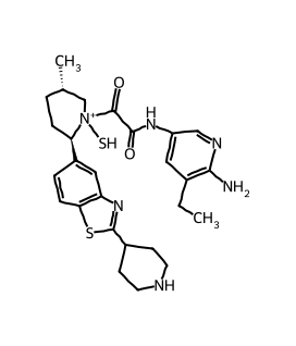 CCc1cc(NC(=O)C(=O)[N+]2(S)C[C@@H](C)CC[C@@H]2c2ccc3sc(C4CCNCC4)nc3c2)cnc1N